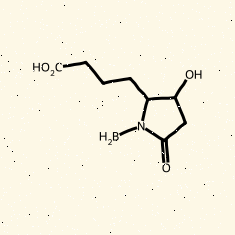 BN1C(=O)CC(O)C1CCCC(=O)O